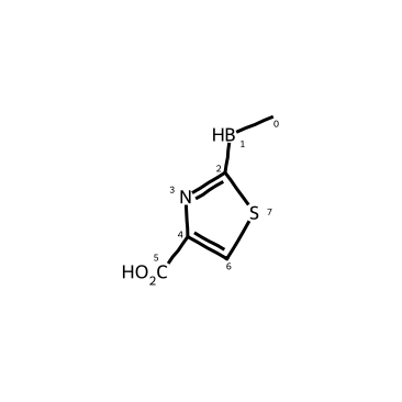 CBc1nc(C(=O)O)cs1